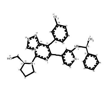 C[C@H](Nc1cc(-c2nc(N3CCC[C@H]3CO)n3cnnc3c2-c2cccc(C(F)(F)F)c2)ccn1)c1ccccc1